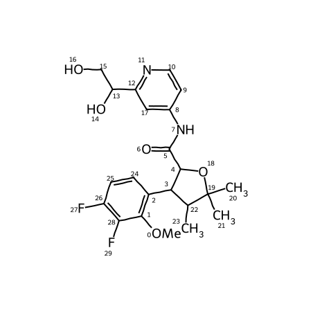 COc1c(C2C(C(=O)Nc3ccnc(C(O)CO)c3)OC(C)(C)C2C)ccc(F)c1F